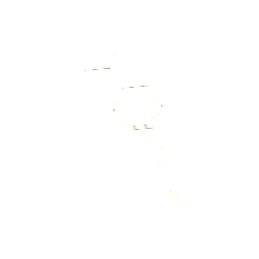 C#CCOc1ccc(C(C)CC)cc1